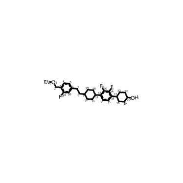 CCOCc1ccc(CCC2CCC(c3ccc(C4CCC(O)CC4)c(F)c3F)CC2)cc1F